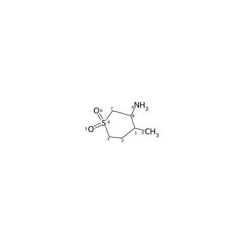 CC1CCS(=O)(=O)CC1N